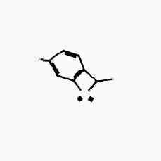 C.O=C(O)C1c2ccc([N+](=O)[O-])cc2S1(=O)=O